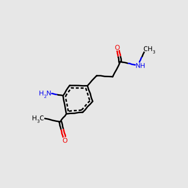 CNC(=O)CCc1ccc(C(C)=O)c(N)c1